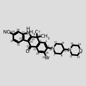 CC1(C)c2cc(N3CCC(N4CCOCC4)CC3)c(Br)cc2C(=O)c2c1[nH]c1cc(C#N)ccc21